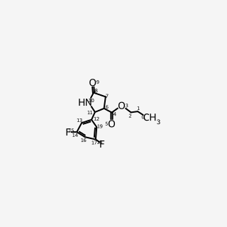 CCCOC(=O)C1CC(=O)NC1c1cc(F)cc(F)c1